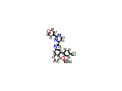 CC(=O)[C@@H](OC(C)(C)C)c1c(C)cc2nc(-c3ccnc(C4=CCOCC4)n3)sc2c1-c1ccc(Cl)cc1